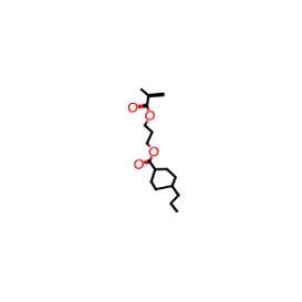 C=C(C)C(=O)OCCCOC(=O)C1CCC(CCC)CC1